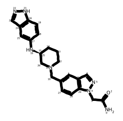 NC(=O)Cn1ncc2cc(CN3CCC[C@H](Nc4ccc5[nH]ncc5c4)C3)ccc21